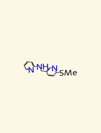 CSc1ccc(CNc2ccccn2)cn1